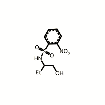 CCC(CO)NS(=O)(=O)c1ccccc1[N+](=O)[O-]